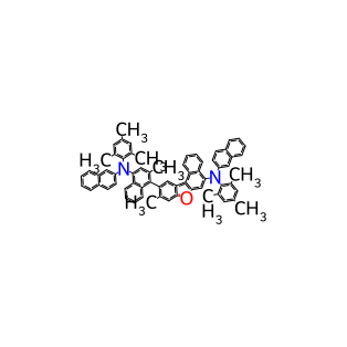 Cc1cc(C)c(N(c2ccc3ccccc3c2)c2cc(C)c(-c3cc4c(cc3C)oc3cc(N(c5ccc6ccccc6c5)c5c(C)cc(C)cc5C)c5ccccc5c34)c3ccccc23)c(C)c1